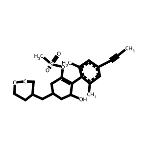 CC#Cc1cc(C)c(C2=C(OS(C)(=O)=O)CC(CC3CCOCC3)CC2O)c(C)c1